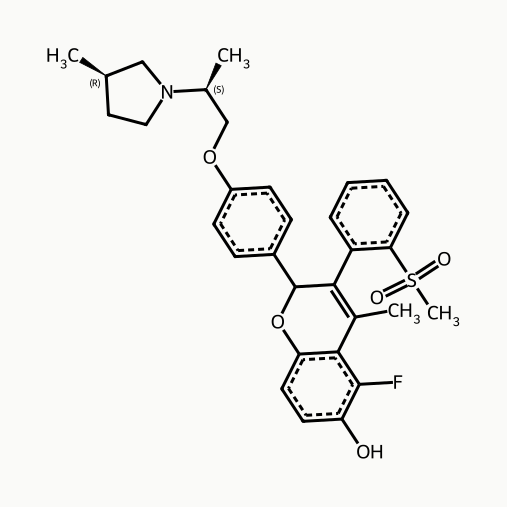 CC1=C(c2ccccc2S(C)(=O)=O)C(c2ccc(OC[C@H](C)N3CC[C@@H](C)C3)cc2)Oc2ccc(O)c(F)c21